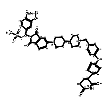 CCOc1cc([C@@H](CS(C)(=O)=O)N2C(=O)c3ccc(N4CCC(C5CCN(Cc6ccc(Oc7ccc(C8CCC(=O)NC8=O)cc7)cc6)CC5)CC4)cc3C2=O)ccc1OC